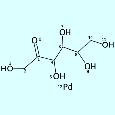 O=C(CO)C(O)C(O)C(O)CO.[Pd]